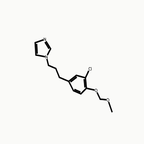 COCOc1ccc(CCCn2ccnc2)cc1Cl